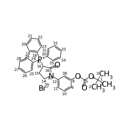 CC(C)(C)OC(=O)Oc1cccc(N2CCC([P+](c3ccccc3)(c3ccccc3)c3ccccc3)C2=O)c1.[Br-]